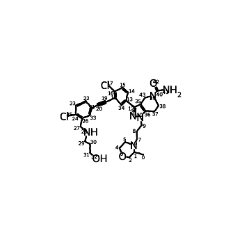 CC1COCCN1CCCn1nc(-c2ccc(Cl)c(C#Cc3ccc(Cl)c(CNCCCO)c3)c2)c2c1CCN(C(N)=O)C2